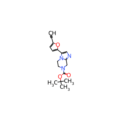 C#Cc1ccc(-c2cnc3n2CCN(C(=O)OC(C)(C)C)C3)o1